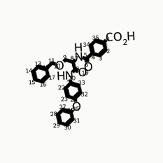 O=C(O)c1ccc(C(=O)NC(COCc2ccccc2)C(=O)Nc2ccc(Oc3ccccc3)cc2)cc1